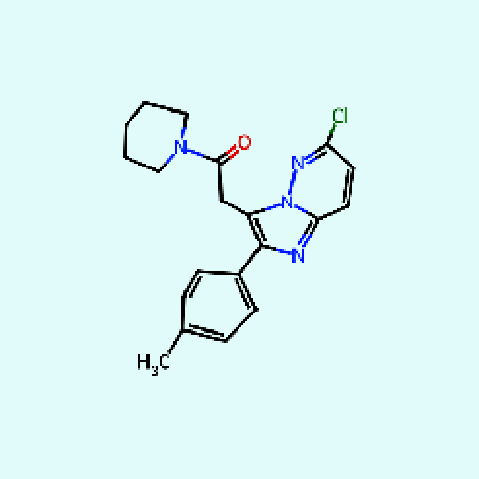 Cc1ccc(-c2nc3ccc(Cl)nn3c2CC(=O)N2CCCCC2)cc1